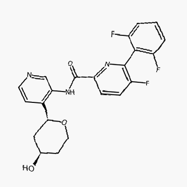 O=C(Nc1cnccc1[C@@H]1C[C@H](O)CCO1)c1ccc(F)c(-c2c(F)cccc2F)n1